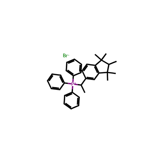 CC1C(C)(C)c2ccc(C(C)[P+](c3ccccc3)(c3ccccc3)c3ccccc3)cc2C1(C)C.[Br-]